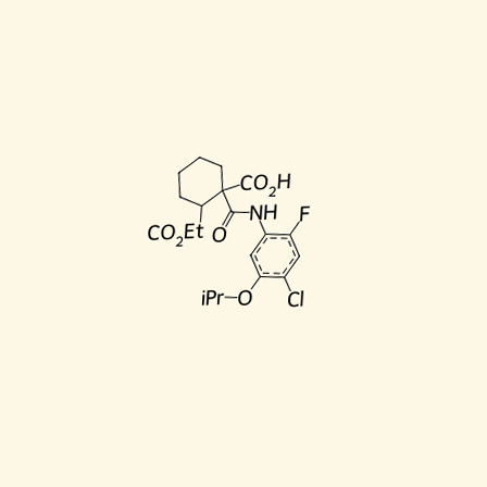 CCOC(=O)C1CCCCC1(C(=O)O)C(=O)Nc1cc(OC(C)C)c(Cl)cc1F